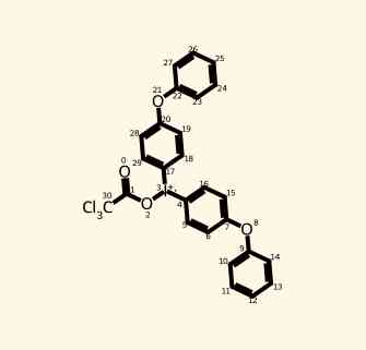 O=C(O[I+](c1ccc(Oc2ccccc2)cc1)c1ccc(Oc2ccccc2)cc1)C(Cl)(Cl)Cl